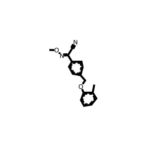 CON=C(C#N)c1ccc(COc2ccccc2C)cc1